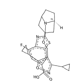 O=C(O)c1cc(F)c2nc(N3C4CC[C@H]3CC(OCc3c(C5CC5)noc3C3CC3)C4)sc2c1